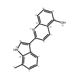 Cc1cccc2c(-c3ccc4c(O)cccc4n3)c[nH]c12